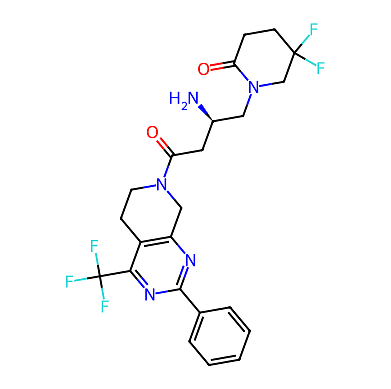 N[C@H](CC(=O)N1CCc2c(nc(-c3ccccc3)nc2C(F)(F)F)C1)CN1CC(F)(F)CCC1=O